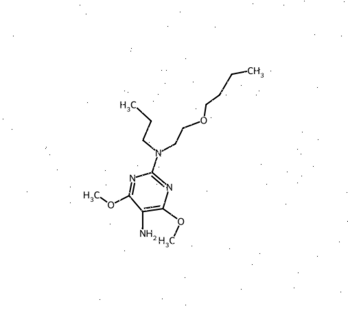 CCCCOCCN(CCC)c1nc(OC)c(N)c(OC)n1